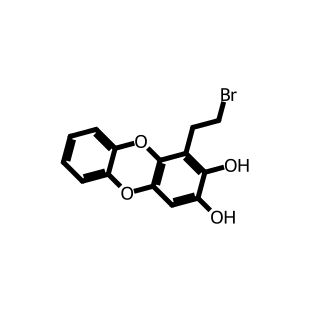 Oc1cc2c(c(CCBr)c1O)Oc1ccccc1O2